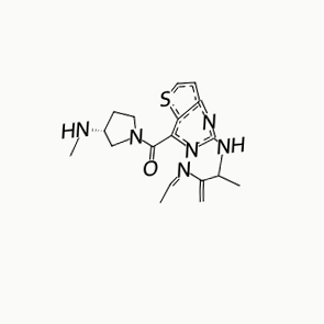 C=C(/N=C\C)C(C)Nc1nc(C(=O)N2CC[C@@H](NC)C2)c2sccc2n1